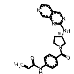 C=CC(=O)Nc1ccc(C(=O)N2CC[C@H](Nc3ncc4ccncc4n3)C2)cc1